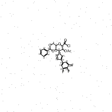 CC(=O)OC1C(C(=O)Cl)OC2COC(c3ccccc3)OC2C1n1cc(-c2cc(F)c(F)c(F)c2)nn1